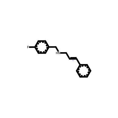 Fc1ccc(CNC/C=C/c2ccccc2)cc1